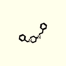 c1ccc(CCN=C2CCN(Cc3ccccc3)CC2)cc1